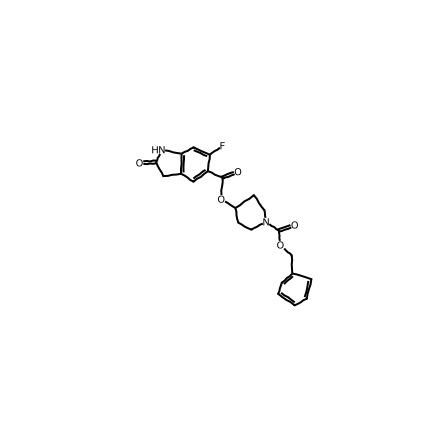 O=C1Cc2cc(C(=O)OC3CCN(C(=O)OCc4ccccc4)CC3)c(F)cc2N1